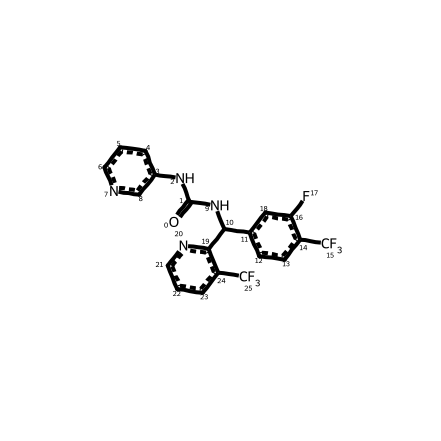 O=C(Nc1cccnc1)NC(c1ccc(C(F)(F)F)c(F)c1)c1ncccc1C(F)(F)F